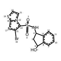 O=S(=O)(NC1CC(O)c2ccccc21)c1c(Br)nc2sccn12